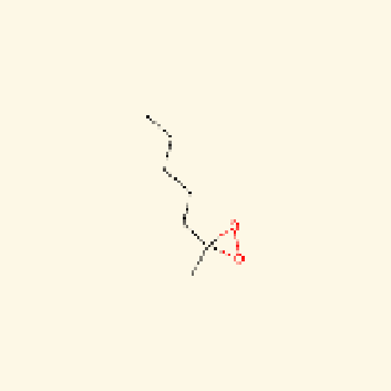 CCCCCC1(C)OO1